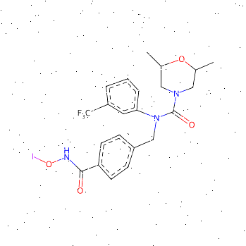 CC1CN(C(=O)N(Cc2ccc(C(=O)NOI)cc2)c2cccc(C(F)(F)F)c2)CC(C)O1